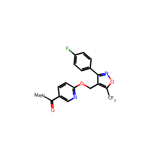 CNC(=O)c1ccc(OCc2c(-c3ccc(F)cc3)noc2C(F)(F)F)nc1